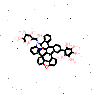 BC(=C)/C(B)=C(B)\C(B)=C(/B)n1c(-c2ccccc2-c2c3ccccc3c(-c3cccc4oc5ccccc5c34)c3cc(-c4c(B)c(B)c(B)c(B)c4B)ccc23)nc2ccccc21